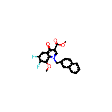 COC(=O)c1cn(Cc2ccc3ccccc3c2)c2c(OC)c(F)c(F)cc2c1=O